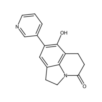 O=C1CCc2c(O)c(-c3cccnc3)cc3c2N1CC3